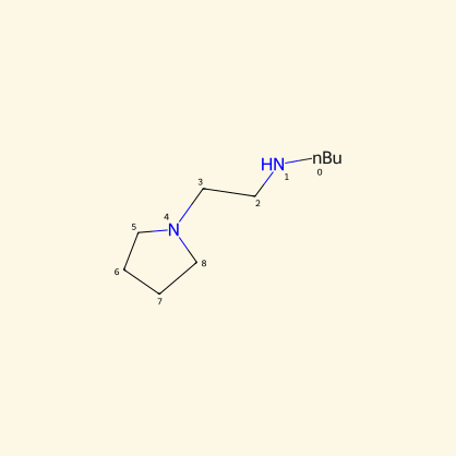 CCCCNCCN1CCCC1